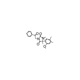 COc1cc(C)c(C)cc1C1(C)C(=O)N(CC(=O)c2ccccc2)C(=O)N1C